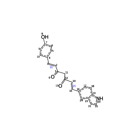 O=C(/C=C/c1ccc(O)cc1)CC(=O)/C=C/c1ccc2[nH]ccc2c1